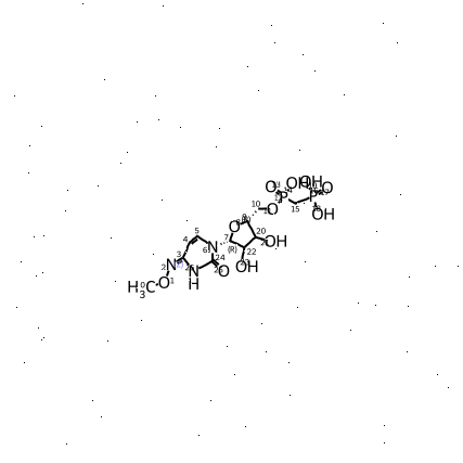 CO/N=c1/ccn([C@@H]2O[C@H](COP(=O)(O)CP(=O)(O)O)C(O)C2O)c(=O)[nH]1